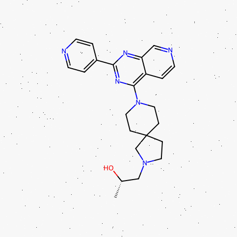 C[C@H](O)CN1CCC2(CCN(c3nc(-c4ccncc4)nc4cnccc34)CC2)C1